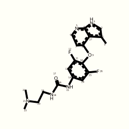 Cc1c[nH]c2nccc(Oc3c(F)cc(NC(=O)NCCN(C)C)cc3F)c12